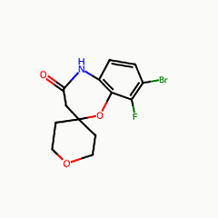 O=C1CC2(CCOCC2)Oc2c(ccc(Br)c2F)N1